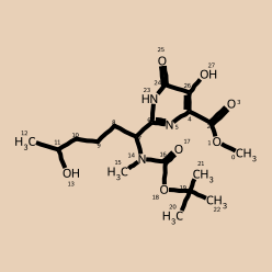 COC(=O)c1nc(C(CCCC(C)O)N(C)C(=O)OC(C)(C)C)[nH]c(=O)c1O